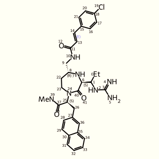 CCC(NC(=N)N)[C@@H]1N[C@@H](CNC(=O)/C=C/c2ccc(Cl)cc2)CCN([C@@H](Cc2ccc3ccccc3c2)C(=O)NC)C1=O